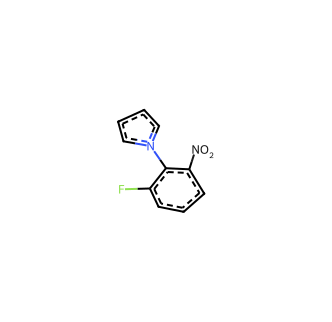 O=[N+]([O-])c1cccc(F)c1-n1cccc1